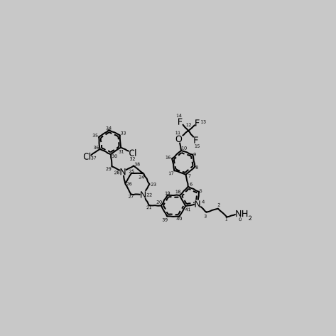 NCCCn1cc(-c2ccc(OC(F)(F)F)cc2)c2cc(CN3CC4CC(C3)N(Cc3c(Cl)cccc3Cl)C4)ccc21